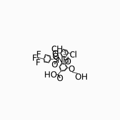 COc1ccc(Cl)c(Oc2c(NS(=O)(=O)c3ccc(C(F)(F)F)cc3)cc(C(=O)O)cc2OCCO)c1